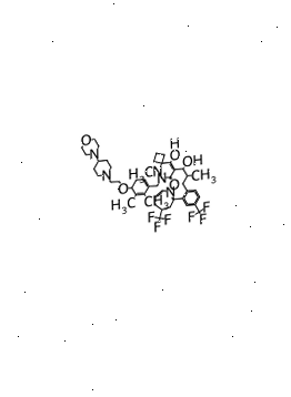 CC1=C(C)C(OCCN2CCC(N3CCOCC3)CC2)CC=C1CN1C(=O)C(C(O)C(C)Cc2ccc(C(F)(F)F)cc2C2=NC=CCC(C(F)(F)F)C2)=C(O)C2(CCC2)N1C